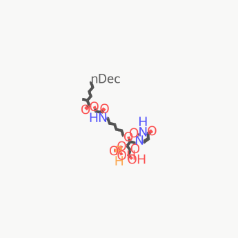 CCCCCCCCCCCCCCC(C)C(=O)OCC(=O)NCCCCCCOC1C(O[PH](=O)O)C(CO)OC1n1ccc(=O)[nH]c1=O